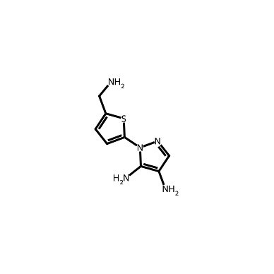 NCc1ccc(-n2ncc(N)c2N)s1